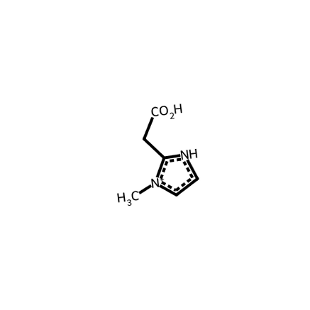 C[n+]1cc[nH]c1CC(=O)O